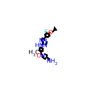 Cc1cc(Nc2nccn3c(-c4ccc(OCC5CC5)c(F)c4)cnc23)ccc1C(=O)N1CCC(CN)CC1